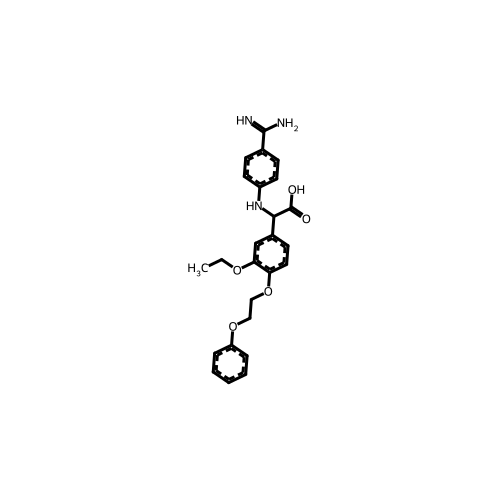 CCOc1cc(C(Nc2ccc(C(=N)N)cc2)C(=O)O)ccc1OCCOc1ccccc1